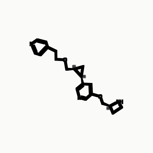 c1cc(CCOC[C@H]2C[C@@H]2c2cncc(OC[C@@H]3CCN3)c2)ccn1